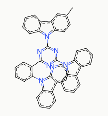 Cc1ccc2c(c1)c1ccccc1n2-c1nc(-c2ccccc2-n2c3ccccc3c3cccnc32)nc(-n2c3ccccc3c3ccccc32)n1